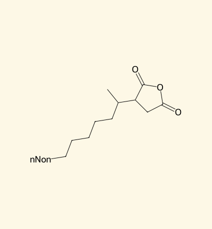 CCCCCCCCCCCCCCC(C)C1CC(=O)OC1=O